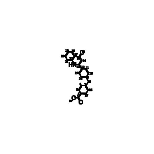 COC(=O)c1ccc(Cc2ccc(-c3cc(=O)c4ccccc4[nH]3)cc2)cc1